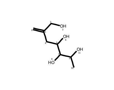 C=C(CO)CC(O)C(O)C(C)O